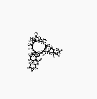 CC[C@H]1OC(=O)[C@H](C)[C@@H](O[C@@H]2O[C@@H](C)[C@H](OC(C)=O)[C@](C)(OC)O2)[C@H](C)[C@@H](O[C@@H]2O[C@H](C)C[C@@H](N3CCN(C)CC3)[C@@H]2N(C)C)[C@@](C)(OC)C[C@@H](C)C(=O)[C@H](C)[C@H]2NC(=O)O[C@@]21C